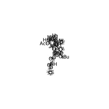 CC(=O)O[C@@H]1C2=C(C)C(OC(=O)[C@H](OC(=O)COC(=O)CCNC(=O)OCc3ccccc3)[C@@H](NC(=O)OC(C)(C)C)c3ccccc3)C[C@@](O)([C@@H](OC(=O)c3ccccc3)[C@@H]3[C@]4(OC(C)=O)CO[C@@H]4C[C@@H]4C[C@@]43C1O)C2(C)C